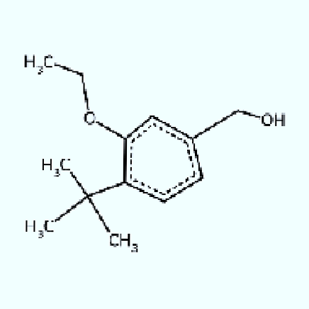 CCOc1cc([CH]O)ccc1C(C)(C)C